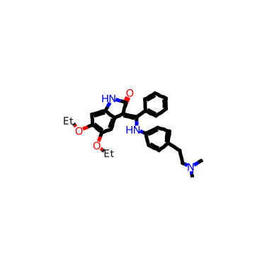 CCOc1cc2c(cc1OCC)C(=C(Nc1ccc(CCN(C)C)cc1)c1ccccc1)C(=O)N2